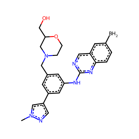 Bc1ccc2nc(Nc3cc(CN4CCOC(CO)C4)cc(-c4cnn(C)c4)c3)ncc2c1